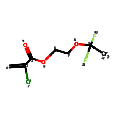 C=C(Cl)C(=O)OCCOC(F)(F)C(F)(F)F